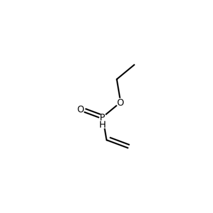 C=C[PH](=O)OCC